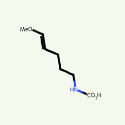 COC=CCCCNC(=O)O